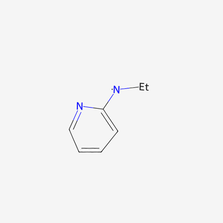 CC[N]c1ccccn1